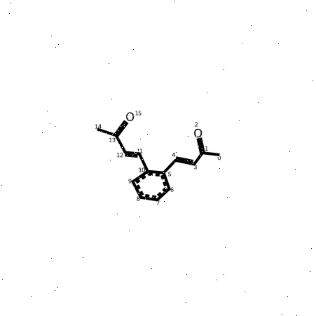 CC(=O)C=Cc1ccccc1C=CC(C)=O